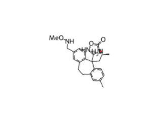 CONCc1ccc2c(c1)CCc1cc(C)ccc1C2(C[C@H](C)N)c1nc(=O)o[nH]1